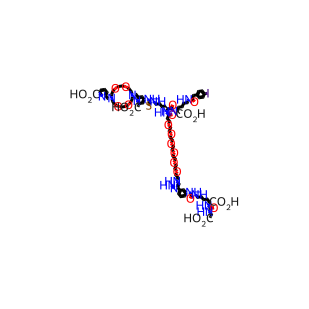 N=N/C(=C\NCCOCCOCCOCCOCCOCCOCCC(=O)N[C@@H](CCCCNC(=S)Nc1cc(CN2CCOCCOCCN(Cc3cccc(C(=O)O)n3)CCOCCOCC2)nc(C(=O)O)c1)C(=O)N[C@@H](CCCCNC(=O)Cc1ccc(I)cc1)C(=O)O)c1cccc(NC(=O)NCCCC[C@H](NC(=O)NCC(=O)O)C(=O)O)c1